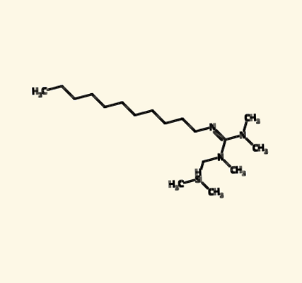 CCCCCCCCCCCN=C(N(C)C)N(C)C[SiH](C)C